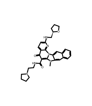 Cn1c2cc3ccccc3cc2n2c3nc(NC[C@H]4CCCO4)ccc3c(=O)c(C(=O)NCCN3CCCC3)c12